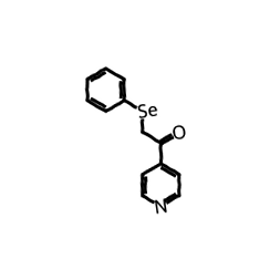 O=C(C[Se]c1ccccc1)c1ccncc1